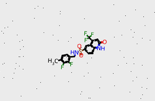 Cc1ccc(CNS(=O)(=O)c2ccc3[nH]c(=O)cc(C(F)(F)F)c3c2)c(F)c1F